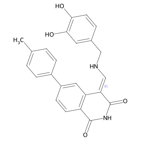 Cc1ccc(-c2ccc3c(c2)/C(=C\NCc2ccc(O)c(O)c2)C(=O)NC3=O)cc1